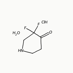 Cl.O.O=C1CCNCC1(F)F